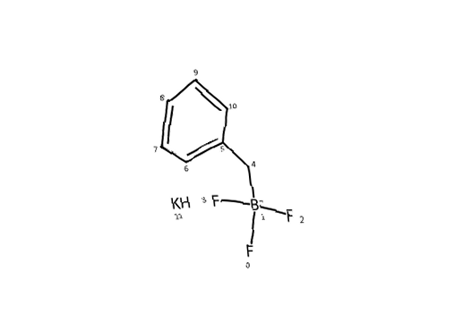 F[B-](F)(F)Cc1ccccc1.[KH]